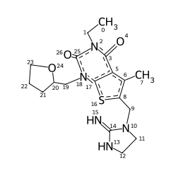 CCn1c(=O)c2c(C)c(CN3CCNC3=N)sc2n(CC2CCCO2)c1=O